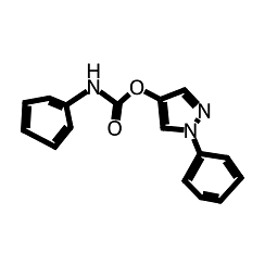 O=C(Nc1ccccc1)Oc1cnn(-c2ccccc2)c1